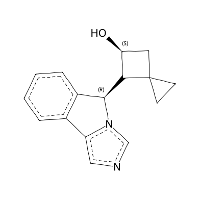 O[C@H]1CC2(CC2)C1[C@@H]1c2ccccc2-c2cncn21